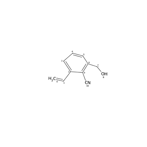 C=Cc1cccc([CH]O)c1C#N